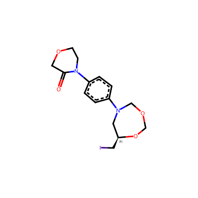 O=C1COCCN1c1ccc(N2COCO[C@@H](CI)C2)cc1